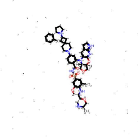 Cc1ccccc1[C@@H]1CCCN1C1CC2(CCN(c3ccc(C(=O)NS(=O)(=O)c4cc5c(c([N+](=O)[O-])c4)N[C@H]([C@H]4CN[C@H](C)CO4)CO5)c(N4c5cc6cc[nH]c6nc5O[C@H]5COC[C@@H]54)c3)CC2)C1